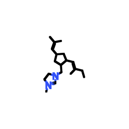 CC/C(C)=C/C1CC(C=C(C)C)CC1CN1C=[N+](C)CC1